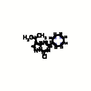 CC(C)c1cnn2c(Cl)nc(C3=C/C=C\C=C/C=C\3)nc12